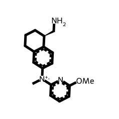 COc1cccc([N+](C)c2ccc3c(c2)CCC[C@H]3CN)n1